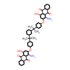 CC(C)(c1ccc(Oc2cc(O)c3c(c2N)C(=O)c2ccccc2C3=O)cc1)c1cccc(C(C)(C)c2ccc(Oc3cc(O)c4c(c3N)C(=O)c3ccccc3C4=O)cc2)c1